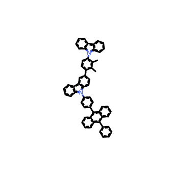 Cc1c(-c2ccc3c(c2)c2ccccc2n3-c2ccc(-c3c4ccccc4c(-c4ccccc4)c4ccccc34)cc2)ccc(-n2c3ccccc3c3ccccc32)c1C